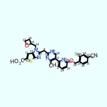 Cc1nc(Cc2nc3sc(C(=O)O)cc3n2CC2CCO2)ncc1-c1cccc(OCc2ccc(C#N)cc2F)n1